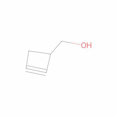 OCC1C#CC1